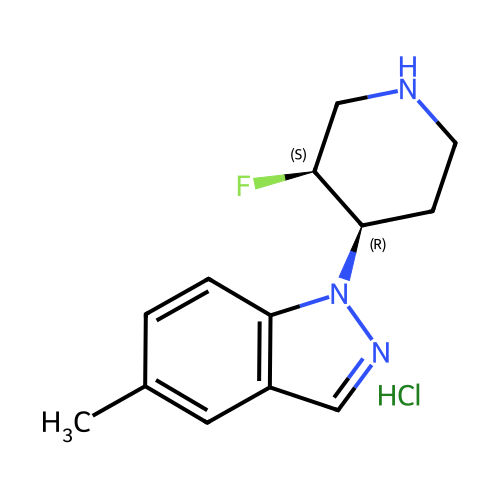 Cc1ccc2c(cnn2[C@@H]2CCNC[C@@H]2F)c1.Cl